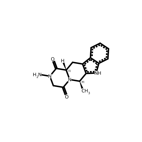 C[C@@H]1c2[nH]c3ccccc3c2C[C@H]2C(=O)N(N)CC(=O)N12